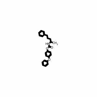 CC(CCCc1ccccc1)NC(=O)Oc1ccc(Oc2ccccc2)cc1